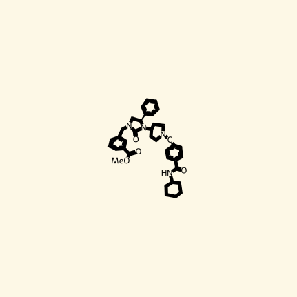 COC(=O)c1cccc(CN2C[C@@H](c3ccccc3)N(C3CCN(Cc4ccc(C(=O)NC5CCCCC5)cc4)CC3)C2=O)c1